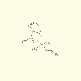 C=CCC(C)(C)c1cc(Cl)n2nccc2n1